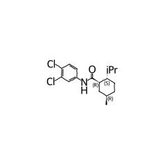 CC(C)[C@@H]1CC[C@@H](C)C[C@H]1C(=O)Nc1ccc(Cl)c(Cl)c1